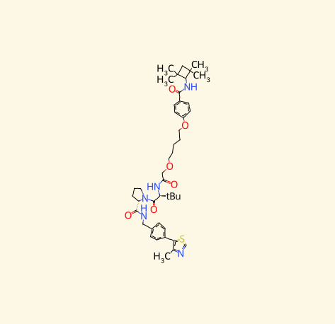 Cc1ncsc1-c1ccc(CNC(=O)[C@@H]2CCCN2C(=O)[C@@H](NC(=O)COCCCCCOc2ccc(C(=O)NC3C(C)(C)CC3(C)C)cc2)C(C)(C)C)cc1